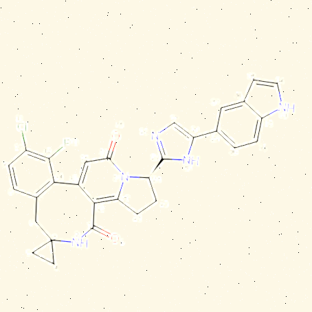 O=C1NC2(CC2)Cc2ccc(Cl)c(F)c2-c2cc(=O)n3c(c21)CC[C@@H]3c1ncc(-c2ccc3[nH]ccc3c2)[nH]1